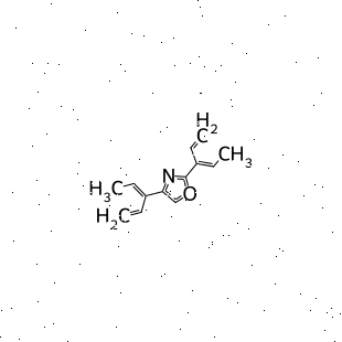 C=C/C(=C\C)c1coc(/C(C=C)=C/C)n1